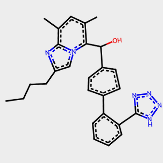 CCCCc1cn2c(C(O)c3ccc(-c4ccccc4-c4nnn[nH]4)cc3)c(C)cc(C)c2n1